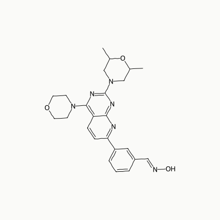 CC1CN(c2nc(N3CCOCC3)c3ccc(-c4cccc(C=NO)c4)nc3n2)CC(C)O1